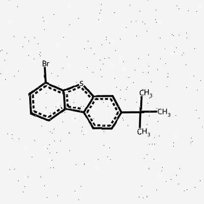 CC(C)(C)c1ccc2c(c1)sc1c(Br)cccc12